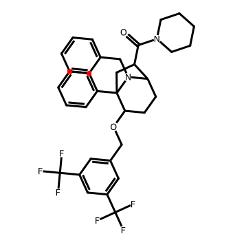 O=C(C1CC2(c3ccccc3)C(OCc3cc(C(F)(F)F)cc(C(F)(F)F)c3)CCC1N2Cc1ccccc1)N1CCCCC1